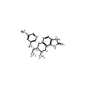 CCc1cc(Br)cnc1[C@@H]1c2ccc3[nH]c(=O)oc3c2C[C@@H](C)N1CC(F)(F)F